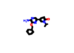 CC(C)n1cc(-c2cnc(N)c(OCc3ccccc3)n2)ccc1=O